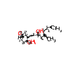 CCCC[C@@H](C)C[C@H](O)C#C[C@@H]1C2CC(=O)[C@H]2CC[C@H]1O